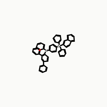 c1ccc(-c2ccc(N(c3ccccc3)c3ccc([Si](c4ccccc4)(c4ccccc4)c4ccc5ccccc5c4)cc3)c(-c3ccccc3)c2)cc1